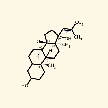 C/C(=C\[C@@]1(O)CC[C@@]2(O)[C@@H]3CCC4CC(O)CC[C@]4(C)[C@H]3CC[C@]12C)C(=O)O